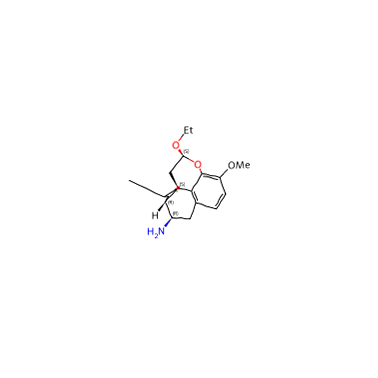 CCO[C@@H]1C[C@]23C=CC(C)C[C@H]2[C@H](N)Cc2ccc(OC)c(c23)O1